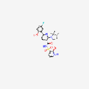 CC1CCN(c2nc(-c3cc(F)ccc3O)ccc2C(=O)NS(=O)(=O)c2ccc[nH]c2=O)C1(C)C